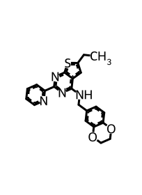 CCc1cc2c(NCc3ccc4c(c3)OCCO4)nc(-c3ccccn3)nc2s1